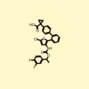 CC(OC(=O)Nc1cc(Cl)sc1-c1ccccc1-c1ccc(C2(C(=O)O)CC2)cc1)c1ccc(F)c(F)c1